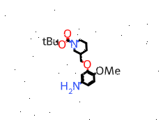 COc1ccc(N)cc1OCC1CCCN(C(=O)OC(C)(C)C)C1